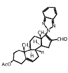 CC(=O)O[C@H]1CC[C@@]2(C)C(=CC[C@@H]3[C@@H]2CC[C@]2(C)C(n4nc5ccccc5n4)=C(C=O)C[C@@H]32)C1